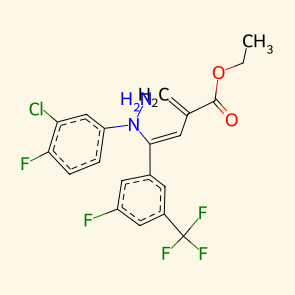 C=C(/C=C(/c1cc(F)cc(C(F)(F)F)c1)N(N)c1ccc(F)c(Cl)c1)C(=O)OCC